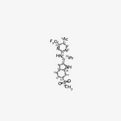 CC(=O)c1cnc(N[C@@H](c2cc3ccc(S(C)(=O)=O)cc3[nH]2)C(C)C)nc1C(F)(F)F